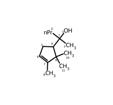 CCCC(C)(O)C1CC=C(C)C1(C)C